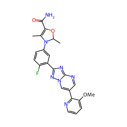 COc1cccnc1-c1cnc2nc(-c3cc(N4C(C)=C(C(N)=O)OC4C)ccc3F)nn2c1